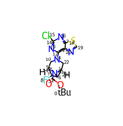 CC(C)(C)OC(=O)N1[C@@H]2CC(F)[C@H]1CN(c1nc(Cl)nc3scnc13)C2